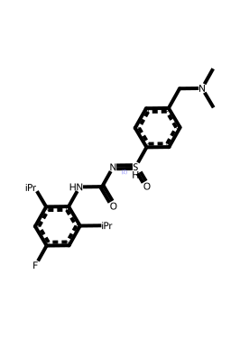 CC(C)c1cc(F)cc(C(C)C)c1NC(=O)/N=[SH](=O)/c1ccc(CN(C)C)cc1